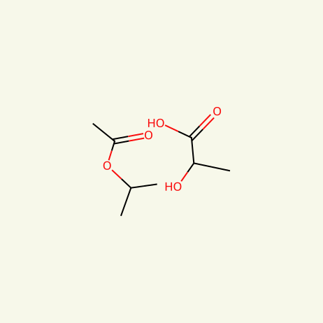 CC(=O)OC(C)C.CC(O)C(=O)O